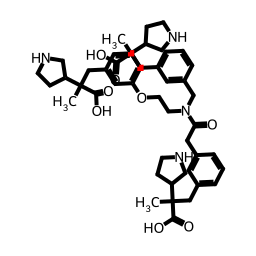 CC(Cc1cccc(CC(=O)N(CCOc2cccc(CC(C)(C(=O)O)C3CCNC3)c2)Cc2cccc(CC(C)(C(=O)O)C3CCNC3)c2)c1)(C(=O)O)C1CCNC1